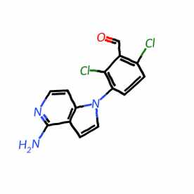 Nc1nccc2c1ccn2-c1ccc(Cl)c(C=O)c1Cl